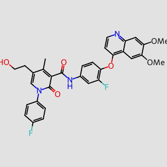 COc1cc2nccc(Oc3ccc(NC(=O)c4c(C)c(CCO)cn(-c5ccc(F)cc5)c4=O)cc3F)c2cc1OC